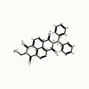 CC(C)CN1C(=O)c2ccc3c4c(ccc(c24)C1=O)C(=O)N(N(c1ccccc1)c1ccccc1)C3=O